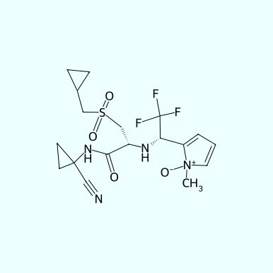 C[N+]1([O-])C=CC=C1[C@H](N[C@@H](CS(=O)(=O)CC1CC1)C(=O)NC1(C#N)CC1)C(F)(F)F